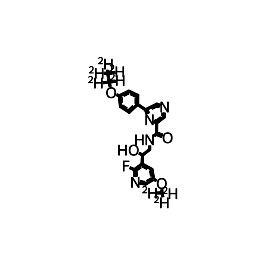 [2H]C([2H])([2H])Oc1cnc(F)c(C(O)CNC(=O)c2cncc(-c3ccc(OC([2H])([2H])C([2H])([2H])[2H])cc3)n2)c1